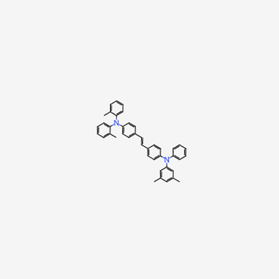 Cc1cc(C)cc(N(c2ccccc2)c2ccc(/C=C/c3ccc(N(c4ccccc4C)c4ccccc4C)cc3)cc2)c1